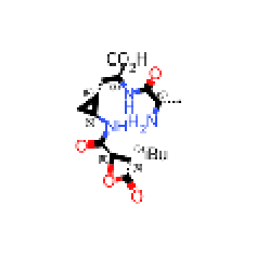 CC[C@H](C)[C@@H]1C(=O)O[C@H]1C(=O)N[C@H]1C[C@@H]1C[C@H](NC(=O)[C@H](C)N)C(=O)O